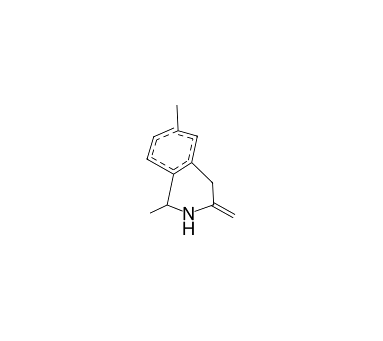 C=C1Cc2cc(C)ccc2C(C)N1